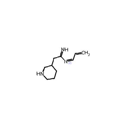 C=C/C=N\C(=N)CC1CCCNC1